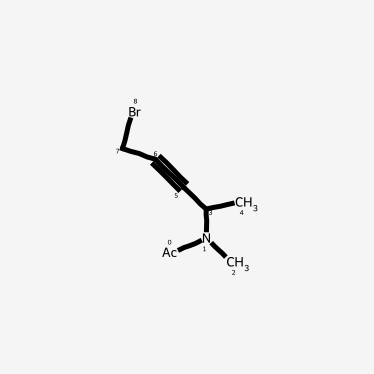 CC(=O)N(C)C(C)C#CCBr